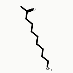 [C]C(=O)CCCCCCCCC